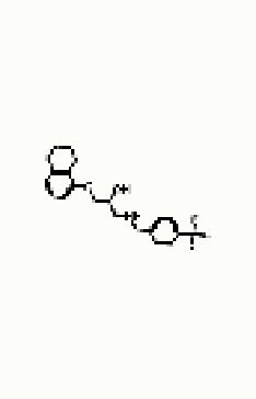 OC(CNCc1ccc(C(F)(F)F)cc1)COc1cccc2c1CCCC2